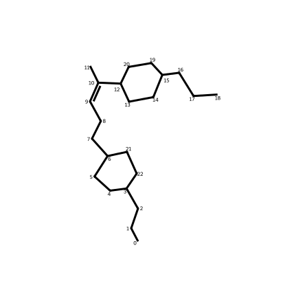 CCCC1CCC(CC/C=C(/C)C2CCC(CCC)CC2)CC1